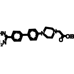 CC(C)COC(=O)CN1CCN(c2ccc(-c3ccc(C(=N)N)cc3)cc2)CC1